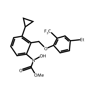 CCc1ccc(OCc2c(C3CC3)cccc2N(O)C(=O)OC)c(C(F)(F)F)c1